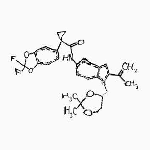 C=C(C)c1cc2cc(NC(=O)C3(c4ccc5c(c4)OC(F)(F)O5)CC3)ccc2n1C[C@@H]1COC(C)(C)O1